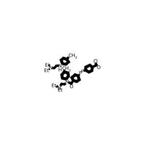 CCN(CC)CCN(C(=O)c1ccc(F)cc1)c1ccc(C)cc1.CCN(CC)CCNc1ccc(C)cc1.O=C(Cl)c1ccc(F)cc1